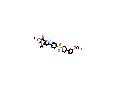 COc1cccc(C2CCN(S(=O)(=O)c3ccc(-c4cc5c([nH]4)c(=O)n(C)c(=O)n5C)cc3)CC2)c1